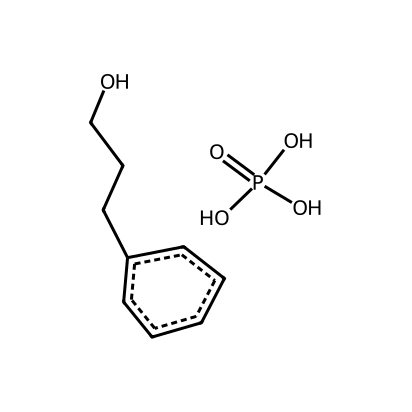 O=P(O)(O)O.OCCCc1ccccc1